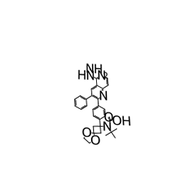 CC(C)(C)N(C(=O)O)C1(c2ccc(-c3nc4ccnc(NN)c4cc3-c3ccccc3)cc2)CC2(C1)OCCO2